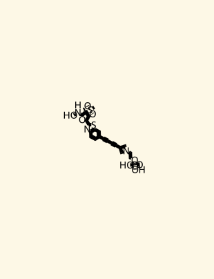 C[C@@](CCc1nc2ccc(C#CC#CC3CN(CCOP(=O)(O)O)C3)cc2s1)(C(=O)NO)S(C)(=O)=O